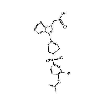 CC(C)Oc1ccc(S(=O)(=O)N2CC=C(c3cn(CC(=O)O)c4ncccc34)CC2)cc1F